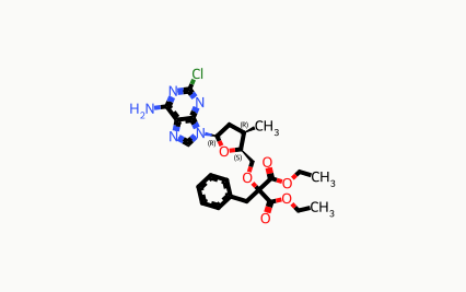 CCOC(=O)C(Cc1ccccc1)(OC[C@H]1O[C@@H](n2cnc3c(N)nc(Cl)nc32)C[C@H]1C)C(=O)OCC